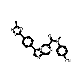 Cc1nnc(-c2ccc(-c3cnc4cnc(C(=O)N(C)c5ccc(C#N)cc5)cn34)cc2)o1